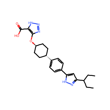 CCC(CC)c1cc(-c2ccc([C@H]3CC[C@H](Oc4nn[nH]c4C(=O)O)CC3)cc2)[nH]n1